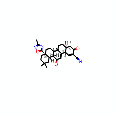 Cc1noc([C@]23CCC(C)(C)C[C@H]2[C@H]2C(=O)C=C4[C@@]5(C)C=C(C#N)C(=O)[C@@H](C)[C@@H]5CC[C@@]4(C)[C@]2(C)CC3)n1